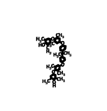 Cc1cc(Oc2c(C)cc(Oc3ccc(C(C)(C)c4ccc(Oc5cc(C)c(Oc6cc(C)c(O)c(C)c6)c(C)c5)cc4)cc3)cc2C)cc(C)c1O